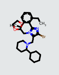 CCc1cccc(CC)c1-c1nc(Br)c(CN2CCCCC2C2CCCCC2)n1CC1OCCO1